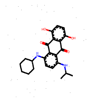 CC(C)Nc1ccc(NC2CCCCC2)c2c1C(=O)c1c(O)ccc(O)c1C2=O